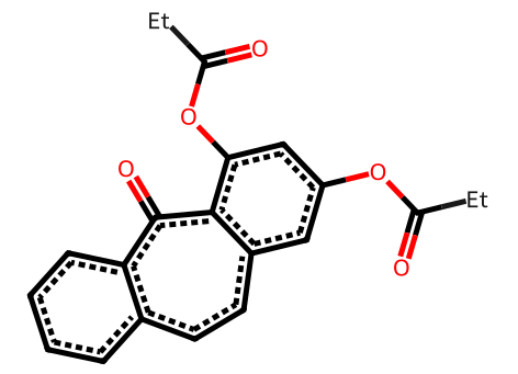 CCC(=O)Oc1cc(OC(=O)CC)c2c(=O)c3ccccc3ccc2c1